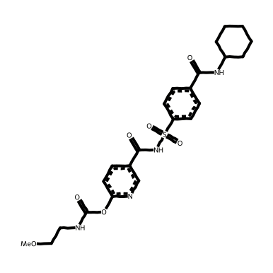 COCCNC(=O)Oc1ccc(C(=O)NS(=O)(=O)c2ccc(C(=O)NC3CCCCC3)cc2)cn1